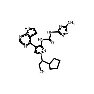 Cc1nc(NC(=O)Nc2nn(C(CC#N)C3CCCC3)cc2-c2ncnc3[nH]ccc23)no1